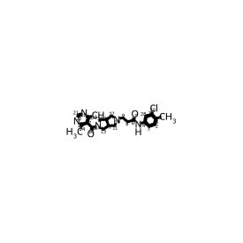 Cc1ccc(NC(=O)CCN2CC3CN(C(=O)c4c(C)ncnc4C)CC3C2)cc1Cl